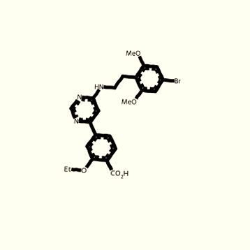 CCOc1cc(-c2cc(NCCc3c(OC)cc(Br)cc3OC)ncn2)ccc1C(=O)O